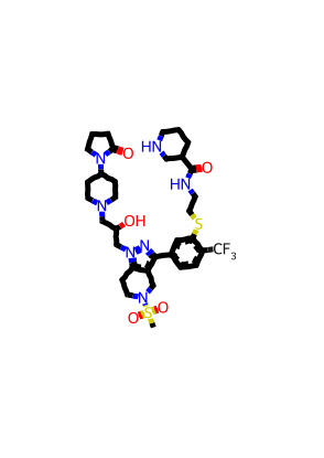 CS(=O)(=O)N1CCc2c(c(-c3ccc(C(F)(F)F)c(SCCNC(=O)C4CCCNC4)c3)nn2CC(O)CN2CCC(N3CCCC3=O)CC2)C1